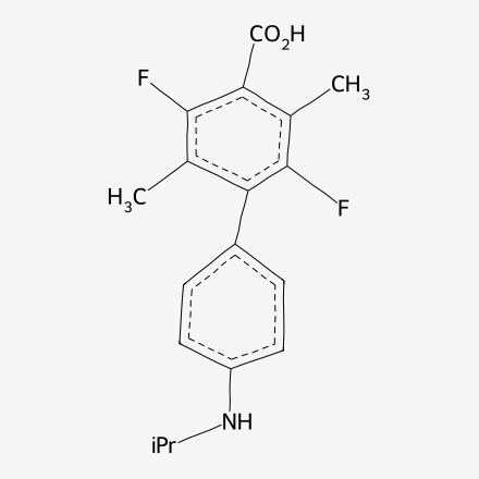 Cc1c(F)c(-c2ccc(NC(C)C)cc2)c(C)c(F)c1C(=O)O